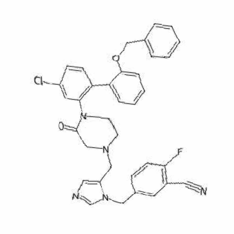 N#Cc1cc(Cn2cncc2CN2CCN(c3cc(Cl)ccc3-c3ccccc3OCc3ccccc3)C(=O)C2)ccc1F